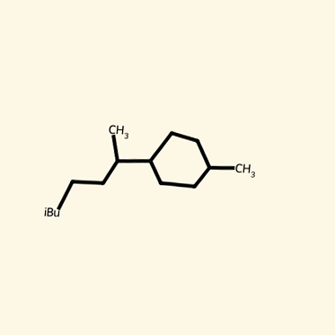 CCC(C)CCC(C)C1CCC(C)CC1